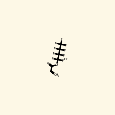 C=CC(=O)OC(F)(F)C(F)(F)C(F)(F)C(F)(F)F.F